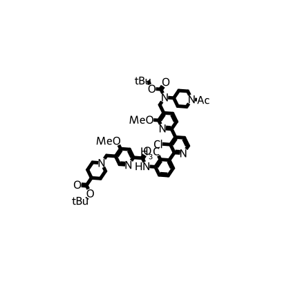 COc1cc(C(=O)Nc2cccc(-c3nccc(-c4ccc(CN(C(=O)OC(C)(C)C)C5CCN(C(C)=O)CC5)c(OC)n4)c3Cl)c2C)ncc1CN1CCC(C(=O)OC(C)(C)C)CC1